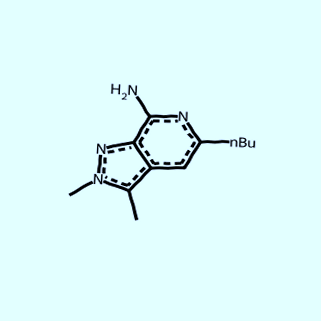 CCCCc1cc2c(C)n(C)nc2c(N)n1